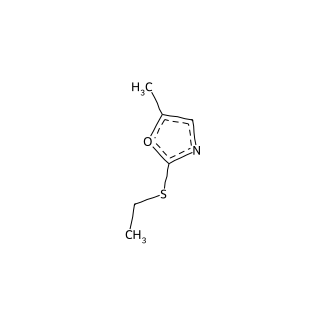 CCSc1ncc(C)o1